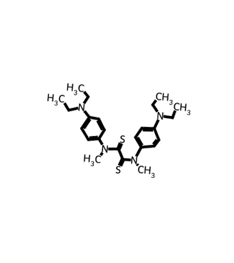 CCN(CC)c1ccc(N(C)C(=S)C(=S)N(C)c2ccc(N(CC)CC)cc2)cc1